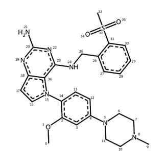 COc1cc(N2CCN(C)CC2)ccc1-n1ccc2nc(N)nc(NCc3ccccc3S(C)(=O)=O)c21